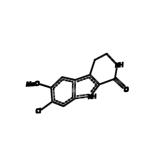 COc1cc2c3c([nH]c2cc1Cl)C(=O)NCC3